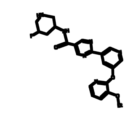 CCOc1cccnc1Oc1cncc(-c2ncc(C(=O)NC3CNCC(F)C3)cn2)c1